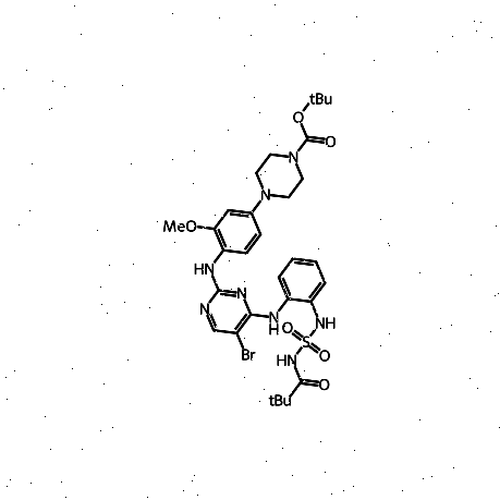 COc1cc(N2CCN(C(=O)OC(C)(C)C)CC2)ccc1Nc1ncc(Br)c(Nc2ccccc2NS(=O)(=O)NC(=O)C(C)(C)C)n1